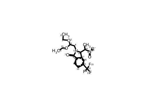 CCOC(CN1C(=O)c2ccc(C(F)(F)F)cc2C1C(C)[N+](=O)[O-])OCC